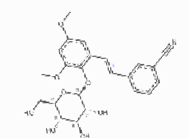 COc1cc(/C=C/c2cccc(C#N)c2)c(O[C@@H]2O[C@H](CO)[C@@H](O)[C@H](O)[C@H]2O)c(OC)c1